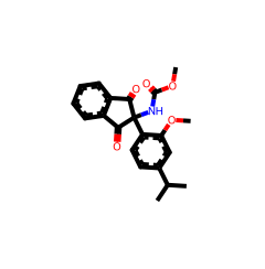 COC(=O)NC1(c2ccc(C(C)C)cc2OC)C(=O)c2ccccc2C1=O